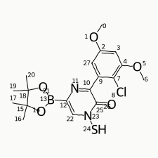 COc1cc(OC)c(Cl)c(-c2nc(B3OC(C)(C)C(C)(C)O3)cn(S)c2=O)c1